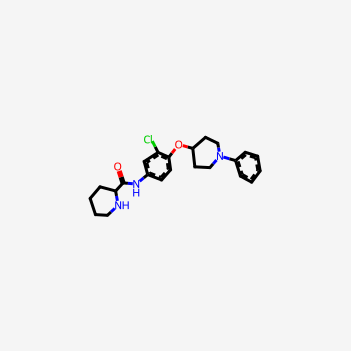 O=C(Nc1ccc(OC2CCN(c3ccccc3)CC2)c(Cl)c1)C1CCCCN1